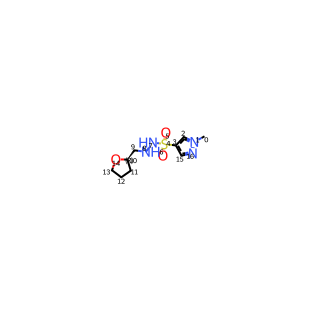 Cn1cc(S(=O)(=O)NNC[C@H]2CCCO2)cn1